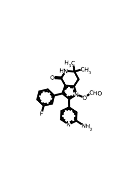 CC1(C)Cc2c(c(-c3cccc(F)c3)c(-c3ccnc(N)c3)n2OC=O)C(=O)N1